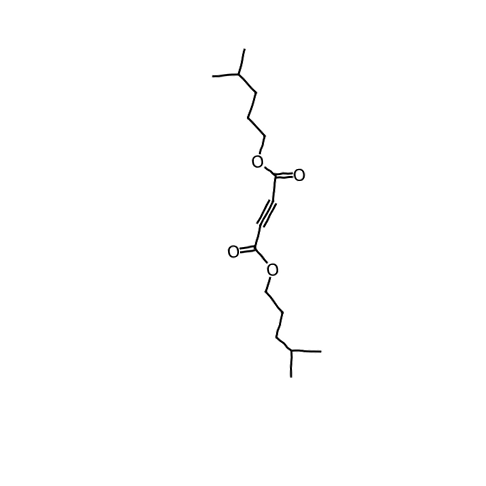 CC(C)CCCOC(=O)C#CC(=O)OCCCC(C)C